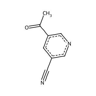 CC(=O)c1cncc(C#N)c1